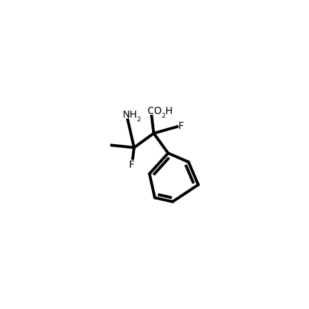 CC(N)(F)C(F)(C(=O)O)c1ccccc1